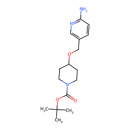 CC(C)(C)OC(=O)N1CCC(OCc2ccc(N)nc2)CC1